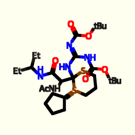 CCC(CC)NC(=O)C(NC(C)=O)C1(NC(=NC(=O)OC(C)(C)C)NC(=O)OC(C)(C)C)SCCCS1=C1CCCC1